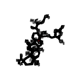 CO[C@H](C)C(=O)O[C@H]1CC[C@]2(C)[C@H]3C(=O)C=C4[C@@H]5C[C@@](C)(C(=O)O)CC[C@]5(C)CC[C@@]4(C)[C@]3(C)CC[C@]23N=C(OCc2oc(=O)oc2C)[C@]13C